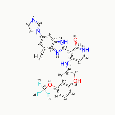 Cc1cc(-n2ccnc2)cc2[nH]c(-c3c(N[C@H](CO)Cc4ccccc4OC(F)(F)F)cc[nH]c3=O)nc12